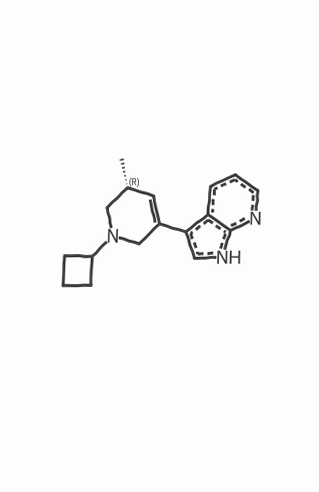 C[C@@H]1C=C(c2c[nH]c3ncccc23)CN(C2CCC2)C1